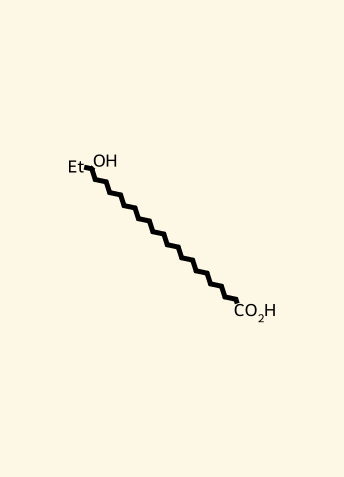 CCC(O)CCCCCCCCCCCCCCCCCCCCC(=O)O